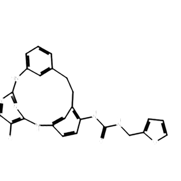 O=C(NCc1ccco1)Nc1ccc2cc1CCc1cccc(c1)Nc1ncc(Cl)c(n1)N2